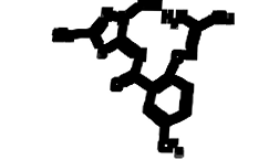 CCCCn1nc(C(C)(C)C)sc1=NC(=O)c1cc(C(F)(F)F)ccc1ON=C(N)C(C)(C)C